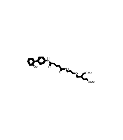 COCCC(COC)COCCCNC(=O)CCCC(=O)Nc1ccc(-c2ccccc2C(C)=O)cc1